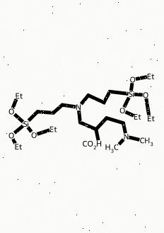 CCO[Si](CCCN(CCC[Si](OCC)(OCC)OCC)CC(CCN(C)C)C(=O)O)(OCC)OCC